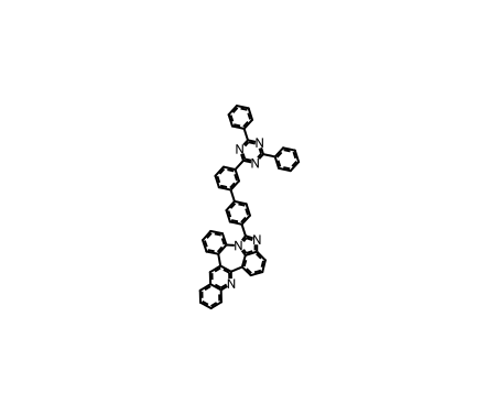 c1ccc(-c2nc(-c3ccccc3)nc(-c3cccc(-c4ccc(-c5nc6cccc7c6n5-c5ccccc5-c5cc6ccccc6nc5-7)cc4)c3)n2)cc1